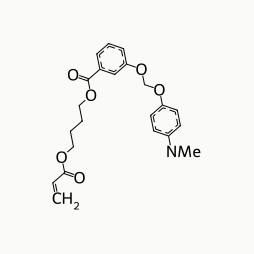 C=CC(=O)OCCCCOC(=O)c1cccc(OCOc2ccc(NC)cc2)c1